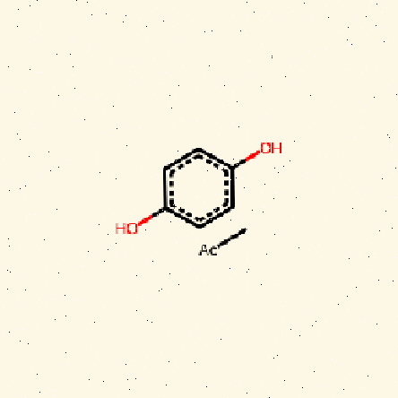 CC(C)=O.Oc1ccc(O)cc1